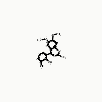 COc1cc2nc(N)nc(-c3cccc(O)c3O)c2cc1OC